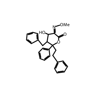 CON=C1C(=O)OC(CCc2ccccc2)(c2ccccc2)C(Cc2ccccc2)C1O